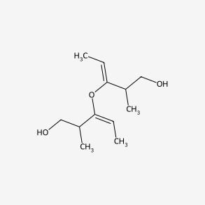 CC=C(OC(=CC)C(C)CO)C(C)CO